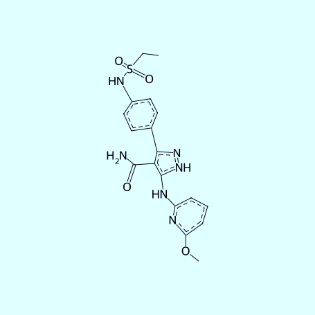 CCS(=O)(=O)Nc1ccc(-c2n[nH]c(Nc3cccc(OC)n3)c2C(N)=O)cc1